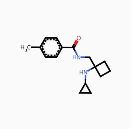 Cc1ccc(C(=O)NCC2(NC3CC3)CCC2)cc1